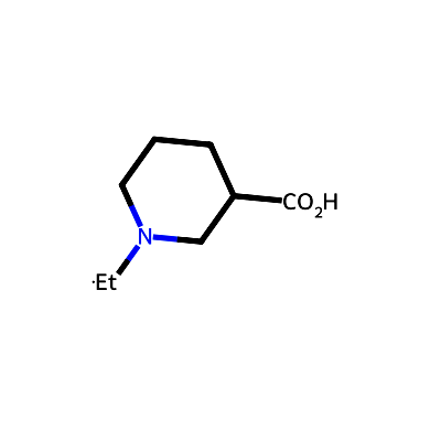 C[CH]N1CCCC(C(=O)O)C1